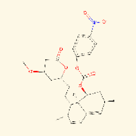 CO[C@H]1CC(=O)O[C@H](CC[C@@H]2[C@@H]3C(=C[C@H](C)C[C@@H]3OC(=O)Oc3ccc([N+](=O)[O-])cc3)C=C[C@@H]2C)C1